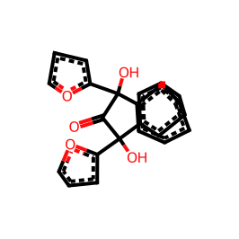 O=C(C(O)(c1ccccc1)c1ccco1)C(O)(c1ccccc1)c1ccco1